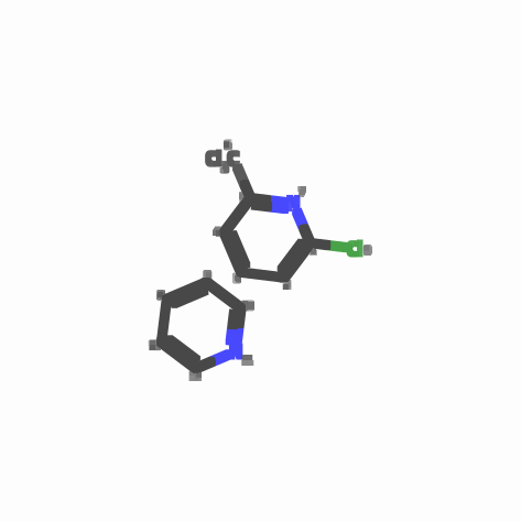 Clc1cccc(C(Cl)(Cl)Cl)n1.c1ccncc1